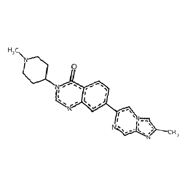 Cc1cn2cc(-c3ccc4c(=O)n(C5CCN(C)CC5)cnc4c3)ncc2n1